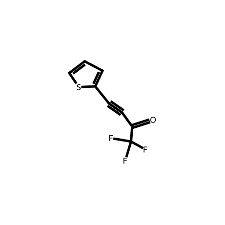 O=C(C#Cc1cccs1)C(F)(F)F